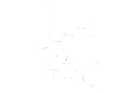 CCCCCN(C(=O)NCCN(C)C)C(=O)[C@@H]1C[C@@H]2Cc3c(sc(N)c3C#N)C[C@H]2N(C)C1